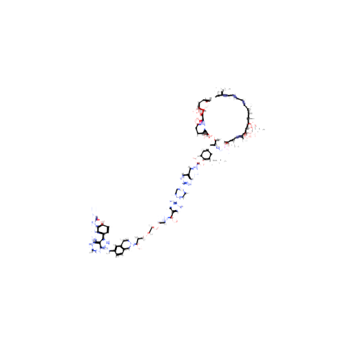 CO[C@H]1C[C@@H]2CC[C@@H](C)[C@@](O)(O2)C(=O)C(=O)N2CCCC[C@H]2C(=O)O[C@H]([C@H](N)C[C@@H]2CC[C@@H](OC(=O)NCc3cnc(N4CCN(c5ncc(C(=O)NCCOCCOCCC(=O)N6CCc7cc(Cn8nc(-c9ccc%10oc(N)nc%10c9)c9c(N)ncnc98)ccc7C6)cn5)CC4)nc3)[C@H](OC)C2)CC(=O)[C@H](C)/C=C(\C)[C@@H](O)[C@@H](OC)C(=O)[C@H](C)C[C@H](C)/C=C/C=C/C=C/1C